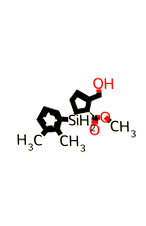 COC(=O)[C@H]1C(CO)=CC[C@@H]1[SiH2]c1cccc(C)c1C